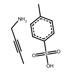 CC#CCN.Cc1ccc(S(=O)(=O)O)cc1